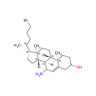 CC(C)CCC[C@@H](C)[C@H]1CC[C@H]2[C@@H]3C(N)C=C4CC(O)CC[C@]4(C)[C@H]3CC[C@]12C